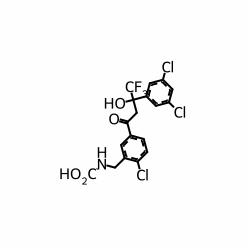 O=C(O)NCc1cc(C(=O)CC(O)(c2cc(Cl)cc(Cl)c2)C(F)(F)F)ccc1Cl